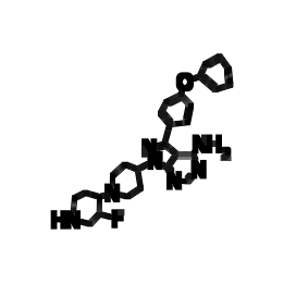 Nc1ncnc2c1c(-c1ccc(Oc3ccccc3)cc1)nn2C1CCN(C2CCNCC2F)CC1